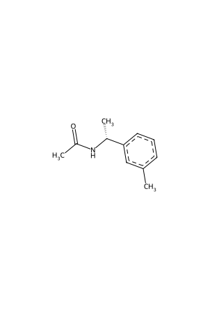 CC(=O)N[C@H](C)c1cccc(C)c1